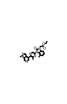 CCOC(=O)Cn1c(=O)n(-c2cnc(-c3cncc4c3cnn4C)c(C)n2)c2c(C)cccc21